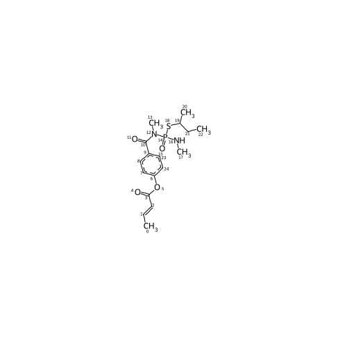 CC=CC(=O)Oc1ccc(C(=O)N(C)P(=O)(NC)SC(C)CC)cc1